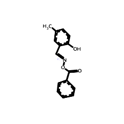 Cc1ccc(O)c(/C=N/OC(=O)c2ccccc2)c1